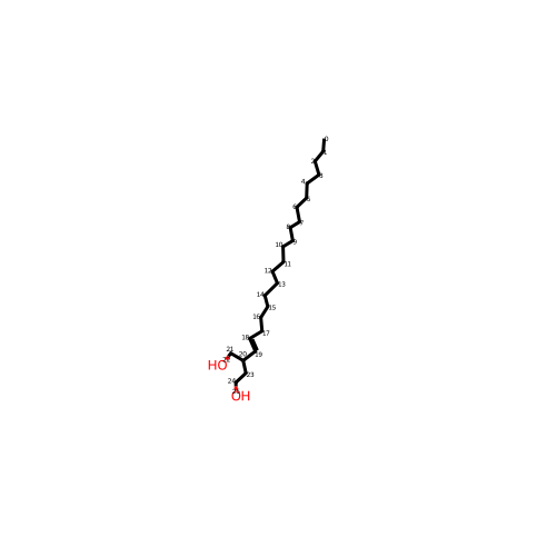 CCCCCCCCCCCCCCCCCCC=CC(CO)CCO